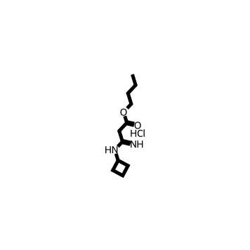 CCCCOC(=O)CC(=N)NC1CCC1.Cl